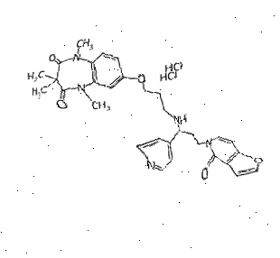 CN1C(=O)C(C)(C)C(=O)N(C)c2cc(OCCCNC(CCn3ccc4occc4c3=O)c3ccncc3)ccc21.Cl.Cl